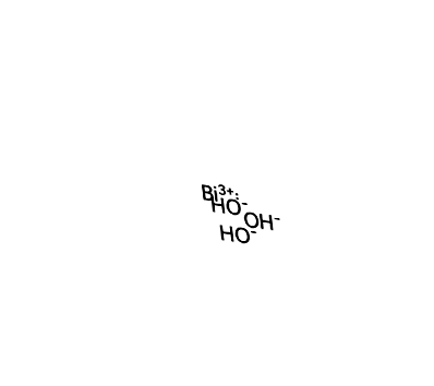 [Bi+3].[OH-].[OH-].[OH-]